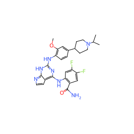 COc1cc(C2CCN(C(C)C)CC2)ccc1Nc1nc(Nc2cc(F)c(F)cc2C(N)=O)c2ccnc-2[nH]1